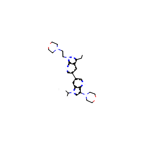 CCc1nn(CCN2CCOCC2)c2ncc(-c3cnc4c(N5CCOCC5)cn(C(C)C)c4c3)cc12